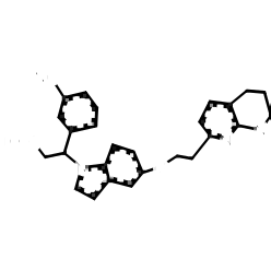 CCOC(=O)CC(c1cccc(C#N)c1)n1ccc2cc(OCCc3ccc4c(n3)NCCC4)ccc21